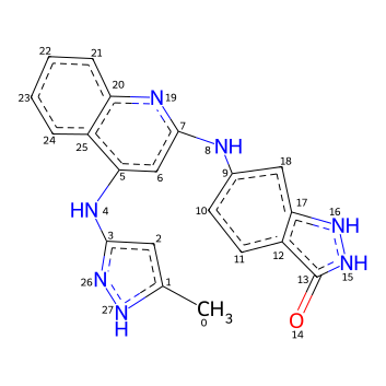 Cc1cc(Nc2cc(Nc3ccc4c(=O)[nH][nH]c4c3)nc3ccccc23)n[nH]1